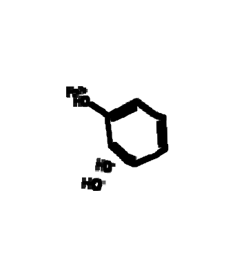 Oc1ccccc1.[Fe+2].[OH-].[OH-]